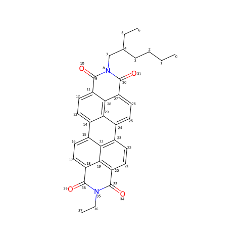 CCCCC(CC)CN1C(=O)c2ccc3c4ccc5c6c(ccc(c7ccc(c2c37)C1=O)c64)C(=O)N(CC)C5=O